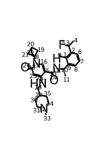 Cc1c(C(C)F)cccc1[C@@H](C)NC(=O)c1cn(C23CC(C2)C3)c(=O)cc1NCC1CCN(C)CC1